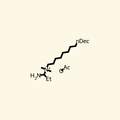 CC(=O)[O-].CCCCCCCCCCCCCCCCCC[N+](C)(C)C(N)CC